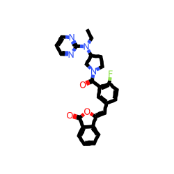 CCN(c1ncccn1)C1CCN(C(=O)c2cc(C=C3OC(=O)c4ccccc43)ccc2F)C1